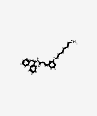 CCCCCCCOc1cccc(C=CC(=O)NC(Cc2ccccc2)c2ccccc2)c1